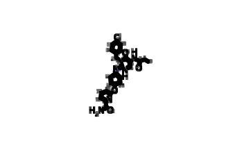 CCC(=O)Nc1c[nH]/c(=N\c2ccc(Oc3cccc(C(N)=O)n3)cc2)n(Cc2ccc(Cl)cc2)c1=O